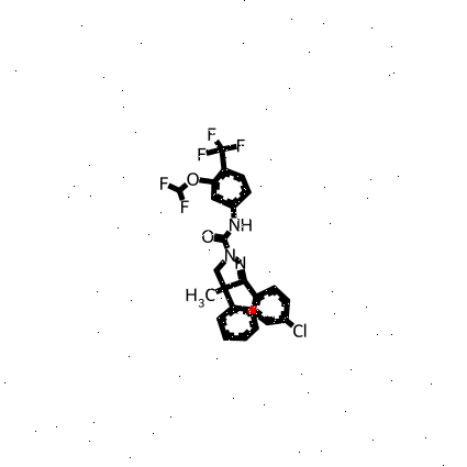 CC1(c2ccccc2)CN(C(=O)Nc2ccc(C(F)(F)F)c(OC(F)F)c2)N=C1c1ccc(Cl)cc1